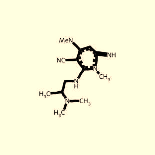 CNc1cc(=N)n(C)c(NCC(C)N(C)C)c1C#N